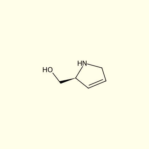 OC[C@@H]1C=CCN1